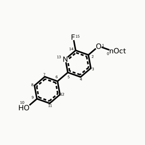 CCCCCCCCOc1ccc(-c2ccc(O)cc2)nc1F